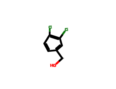 O[CH]c1ccc(Cl)c(Cl)c1